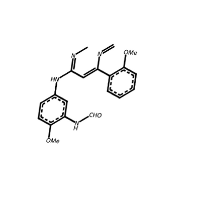 C=N/C(=C\C(=N/C)Nc1ccc(OC)c(NC=O)c1)c1ccccc1OC